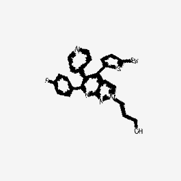 OCCCn1cc2c(-c3ccc(Br)s3)c(-c3ccncc3)c(-c3ccc(F)cc3)nc2n1